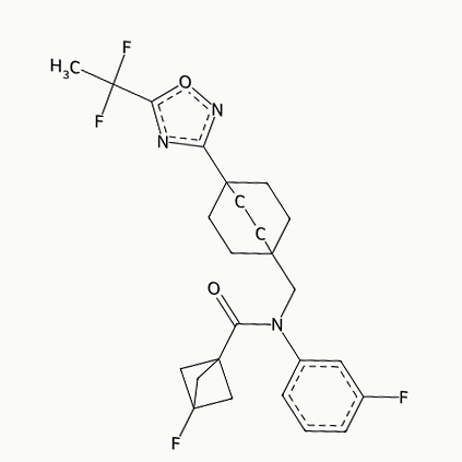 CC(F)(F)c1nc(C23CCC(CN(C(=O)C45CC(F)(C4)C5)c4cccc(F)c4)(CC2)CC3)no1